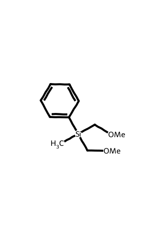 COC[Si](C)(COC)c1ccccc1